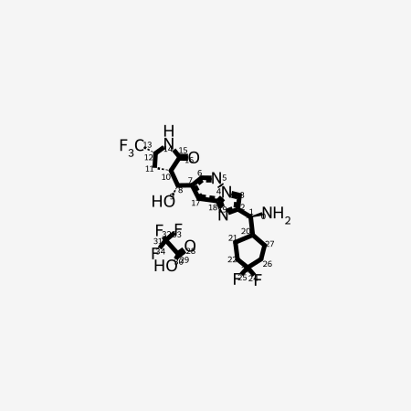 N[C@H](c1cn2ncc([C@H](O)[C@@H]3C[C@H](C(F)(F)F)NC3=O)cc2n1)C1CCC(F)(F)CC1.O=C(O)C(F)(F)F